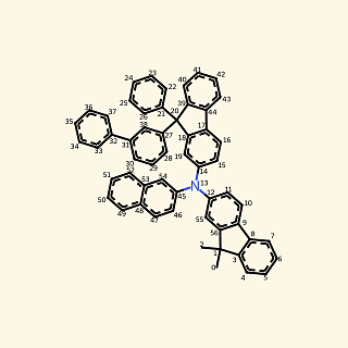 CC1(C)c2ccccc2-c2ccc(N(c3ccc4c(c3)C(c3ccccc3)(c3cccc(-c5ccccc5)c3)c3ccccc3-4)c3ccc4ccccc4c3)cc21